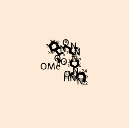 COC(=O)OC1CN(C(=O)c2cc(N3CCC(n4c(=O)[nH]c5ncccc54)CC3)ncn2)c2ccccc21